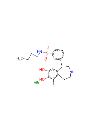 Br.CCCCNS(=O)(=O)c1cccc(C2CNCCc3c2cc(O)c(O)c3Cl)c1